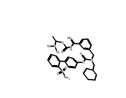 CCN(CC)C(C)OC(=O)NC(=N)c1cccc(CN(CC2CCCCC2)C(=O)Oc2ccc(-c3ccccc3S(N)(=O)=O)cc2)c1